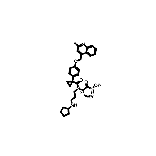 Cc1cc(COc2ccc(C3(C(=O)N(CCCNC4CCCC4)[C@@H](CC(C)C)C(=O)NO)CC3)cc2)c2ccccc2n1